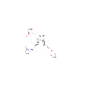 CBC(BC(C)(C)CCOC(C)(C)N1C(=O)CCC1=O)(BC(C)(C)CCOC(C)(C)N1C(=O)CCC1=O)BC(C)(C)CCOC(C)(C)N1C(=O)CCC1=O